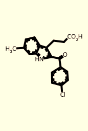 Cc1ccc2c(CCC(=O)O)c(C(=O)c3ccc(Cl)cc3)[nH]c2c1